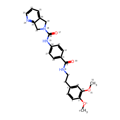 COc1ccc(CCNC(=O)c2ccc(NC(=O)N3Cc4cccnc4C3)cc2)cc1OC